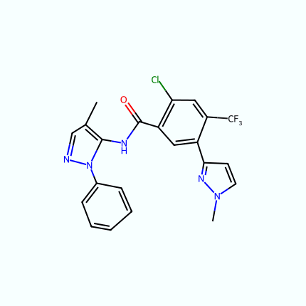 Cc1cnn(-c2ccccc2)c1NC(=O)c1cc(-c2ccn(C)n2)c(C(F)(F)F)cc1Cl